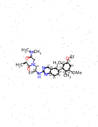 C=CC(=O)N(CC(=O)N(C)C)CC(CC)Nc1ncc2cc(-c3c(C)c(OC)cc(OCC)c3C)ccc2n1